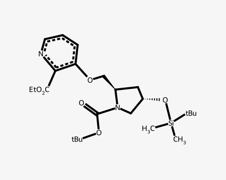 CCOC(=O)c1ncccc1OC[C@H]1C[C@H](O[Si](C)(C)C(C)(C)C)CN1C(=O)OC(C)(C)C